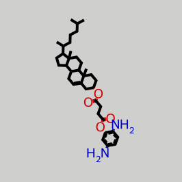 CC(C)CCCC(C)C1CCC2C3CC=C4CC(OC(=O)CCC(=O)Oc5cc(N)ccc5N)CCC4(C)C3CCC12C